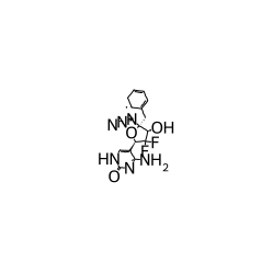 [N-]=[N+]=N[C@]1(CC2=CC=CC[CH]2)O[C@H](c2c[nH]c(=O)nc2N)C(F)(F)[C@@H]1O